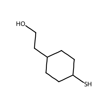 OCCC1CCC(S)CC1